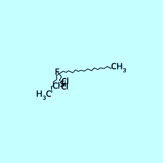 CCCCCCCCCCCCCCCCCC(F)(CCCCCCC)CC[Si](Cl)(Cl)Cl